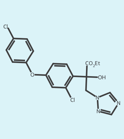 CCOC(=O)C(O)(Cn1cncn1)c1ccc(Oc2ccc(Cl)cc2)cc1Cl